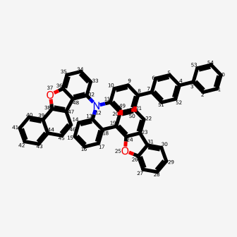 c1ccc(-c2ccc(-c3ccc(N(c4ccccc4-c4cccc5c4oc4ccccc45)c4cccc5oc6c7ccccc7ccc6c45)cc3)cc2)cc1